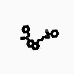 C#CN(Cc1ccccc1)c1ccc2cccc(CCCNC(=O)C3CCCCC3)c2c1